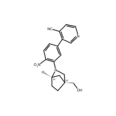 N#Cc1ccncc1-c1ccc([N+](=O)[O-])c(N2C[C@@]3(CO)CC[C@@H]2C3)c1